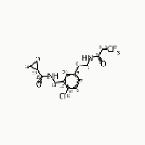 O=C(CC(F)(F)F)NCCc1ccc(Cl)c(CNC(=O)C2CC2)c1